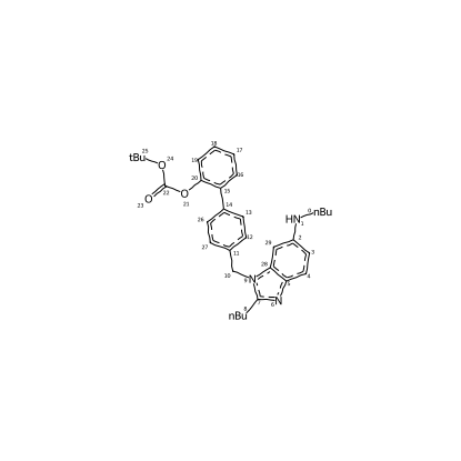 CCCCNc1ccc2nc(CCCC)n(Cc3ccc(-c4ccccc4OC(=O)OC(C)(C)C)cc3)c2c1